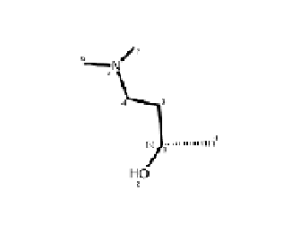 C[C@H](O)CCN(C)C